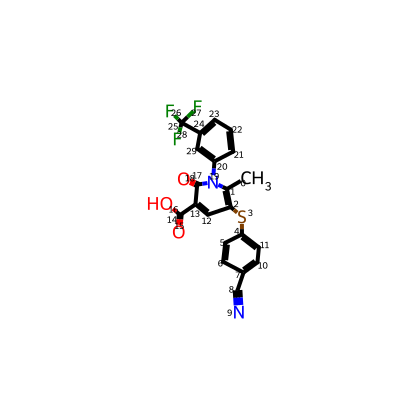 Cc1c(Sc2ccc(C#N)cc2)cc(C(=O)O)c(=O)n1-c1cccc(C(F)(F)F)c1